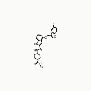 CC(C)(C)OC(=O)N1CCC(NC(=O)c2cc3c(OCc4coc5ccc(F)cc45)cccc3[nH]2)CC1